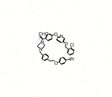 CC(C)c1ccc(OCCc2ccc(CN3CCN(/C(=C/C=O)c4ccc(Oc5ccc(OCc6ccccc6Cl)cn5)cc4)CC3)cc2)cc1